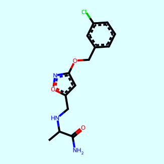 CC(NCc1cc(OCc2cccc(Cl)c2)no1)C(N)=O